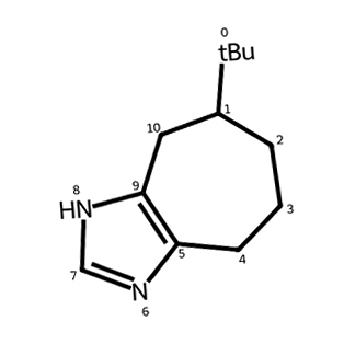 CC(C)(C)C1CCCc2nc[nH]c2C1